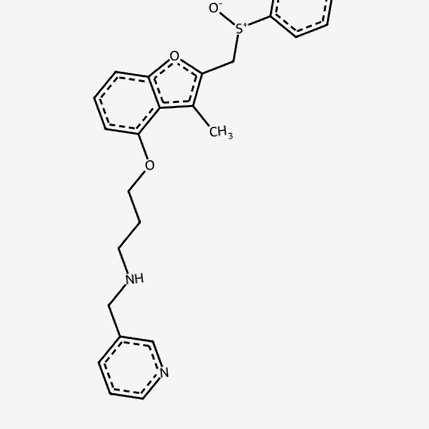 Cc1c(C[S+]([O-])c2ccc(F)cc2)oc2cccc(OCCCNCc3cccnc3)c12